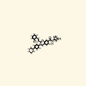 O=C(Nc1nn[nH]n1)c1ccc(CN(C(=O)C=Cc2ccccc2Cl)c2ccc(N3CCCCC3)cc2)cc1